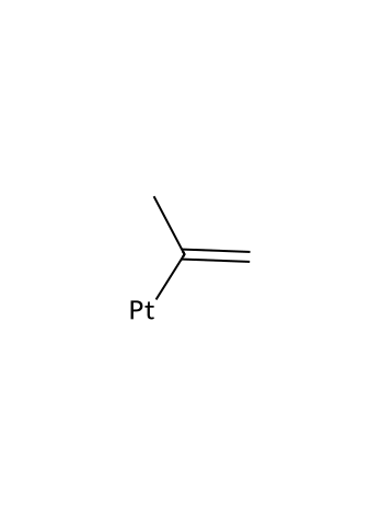 C=[C](C)[Pt]